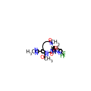 CC(=O)c1nn2c3c(cc(-c4cnc(C)nc4)cc13)CCCCCCC(=O)N(C)C[C@]13C4C1[C@H]3N(C(=O)C2)[C@@H]4C(=O)Nc1nc(C(F)(F)F)ccc1C